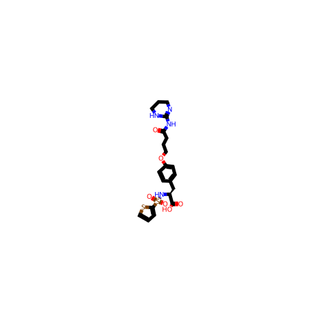 O=C(CCCOc1ccc(C[C@H](NS(=O)(=O)c2cccs2)C(=O)O)cc1)NC1=NCCCN1